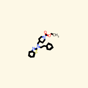 CCOC(=O)N1CCC(CN(CCc2ccccc2)c2nc3ccccc3s2)CC1